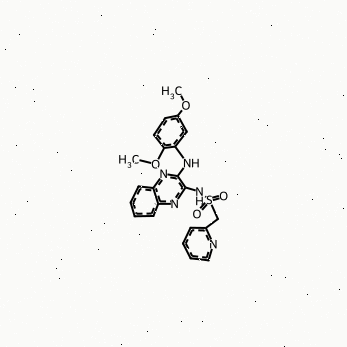 COc1ccc(OC)c(Nc2nc3ccccc3nc2NS(=O)(=O)Cc2ccccn2)c1